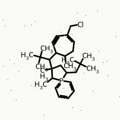 CC1CC=C(CCl)C#CC1C(C(C)(C)C)C1(C)CC(CC(C)(C)C)P2(=CC=CC=C2)C1C